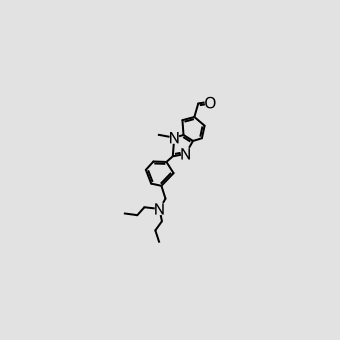 CCCN(CCC)Cc1cccc(-c2nc3ccc(C=O)cc3n2C)c1